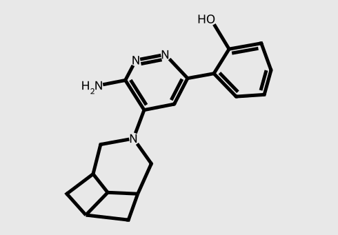 Nc1nnc(-c2ccccc2O)cc1N1CC2CC3CC(C1)C32